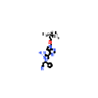 C[Si](C)(C)CCOCn1ccc2c(-c3cn(C(CC#N)C4CCCC4)nc3N)ncnc21